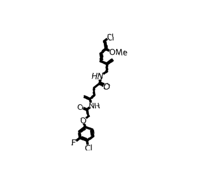 C=C(/C=C\C(=C\Cl)OC)CNC(=O)CCC(=C)NC(=O)COc1ccc(Cl)c(F)c1